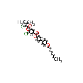 CCCCCCCCOc1ccc(-c2ccc(OC(=O)c3ccc(OC(=O)C(Cl)C(C)C)c(Cl)c3)cc2)cc1